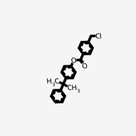 CC(C)(c1ccccc1)c1ccc(OC(=O)c2ccc(CCl)cc2)cc1